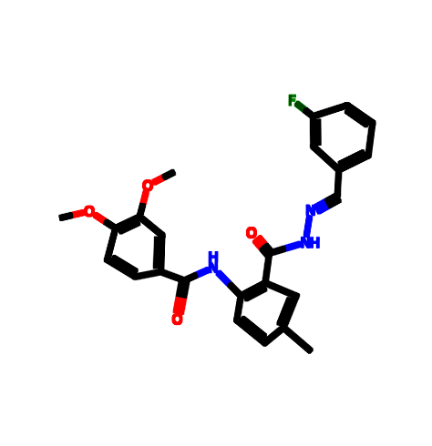 COc1ccc(C(=O)Nc2ccc(C)cc2C(=O)N/N=C/c2cccc(F)c2)cc1OC